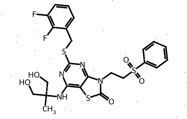 CC(CO)(CO)Nc1nc(SCc2cccc(F)c2F)nc2c1sc(=O)n2CCS(=O)(=O)c1ccccc1